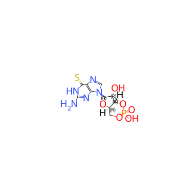 Nc1nc2c(ncn2[C@@H]2O[C@@H]3COP(=O)(O)O[C@H]3[C@H]2O)c(=S)[nH]1